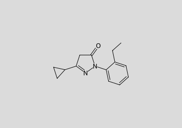 CCc1ccccc1N1N=C(C2CC2)CC1=O